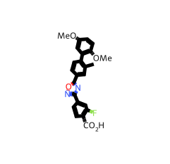 COc1ccc(OC)c(-c2ccc(-c3nc(-c4ccc(C(=O)O)c(F)c4)no3)cc2C)c1